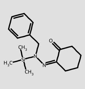 C[Si](C)(C)N(Cc1ccccc1)/N=C1/CCCCC1=O